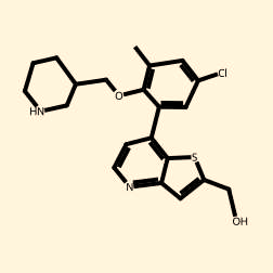 Cc1cc(Cl)cc(-c2ccnc3cc(CO)sc23)c1OCC1CCCNC1